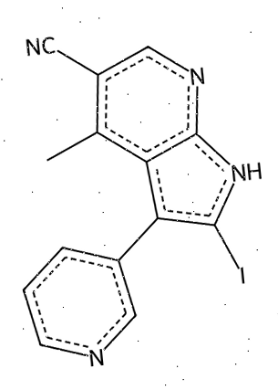 Cc1c(C#N)cnc2[nH]c(I)c(-c3cccnc3)c12